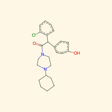 O=C([C](c1ccc(O)cc1)c1ccccc1Cl)N1CCN(C2CCCCC2)CC1